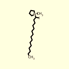 CCCCCCCCCCCCCCC(I)[N+]1(C)CCCC1